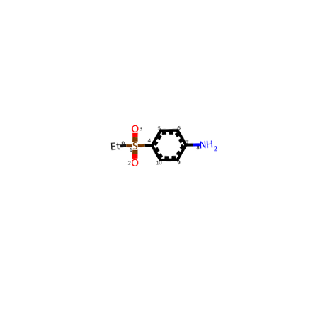 CCS(=O)(=O)c1ccc(N)cc1